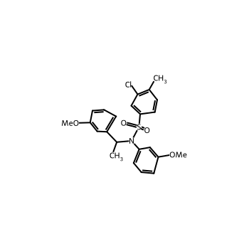 COc1cccc(C(C)N(c2cccc(OC)c2)S(=O)(=O)c2ccc(C)c(Cl)c2)c1